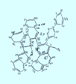 Cc1c(-c2ccc(-c3ccccc3)cc2)c(-c2cc3ccccc3c3c4c(c5c6cc7ccccc7cc6sc5c23)CCC=C4)nc2c1ccc1ccccc12